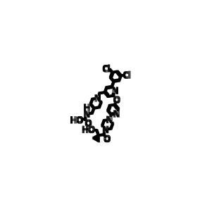 O=C(O)NCC1CCN(Cc2cc(Oc3ccc(N4CCN(C(=O)C5(CO)CC5)CC4)nc3)nc(-c3cc(Cl)cc(Cl)c3)c2)CC1